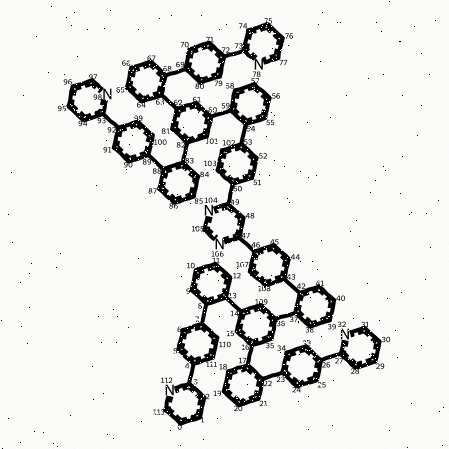 c1ccc(-c2ccc(-c3ccccc3-c3cc(-c4ccccc4-c4ccc(-c5ccccn5)cc4)cc(-c4ccccc4-c4ccc(-c5cc(-c6ccc(-c7ccccc7-c7cc(-c8ccccc8-c8ccc(-c9ccccn9)cc8)cc(-c8ccccc8-c8ccc(-c9ccccn9)cc8)c7)cc6)ncn5)cc4)c3)cc2)nc1